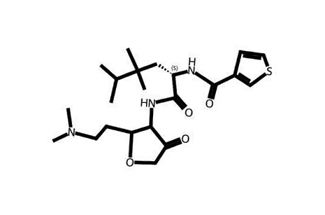 CC(C)C(C)(C)C[C@H](NC(=O)c1ccsc1)C(=O)NC1C(=O)COC1CCN(C)C